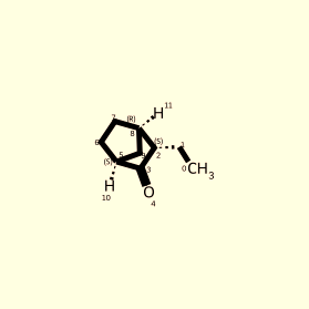 CC[C@@H]1C(=O)[C@H]2CC[C@@H]1C2